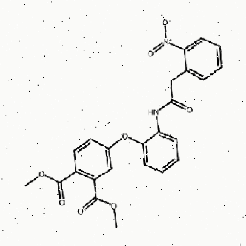 COC(=O)c1ccc(Oc2ccccc2NC(=O)Cc2ccccc2[N+](=O)[O-])cc1C(=O)OC